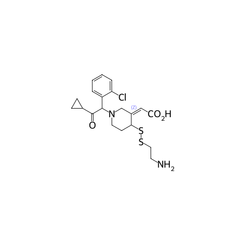 NCCSSC1CCN(C(C(=O)C2CC2)c2ccccc2Cl)C/C1=C/C(=O)O